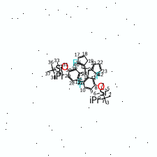 CC(C)C(C)(C)[Si](C)(C)Oc1ccc(F)[c]([Ti]([C]2=CC=CC2)([C]2=CC=CC2)[c]2c(F)ccc(O[Si](C)(C)C(C)(C)C(C)C)c2F)c1F